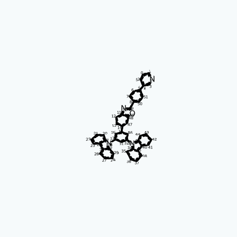 c1cncc(-c2ccc(-c3nc4ccc(-c5cc(-n6c7ccccc7c7ccccc76)cc(-n6c7ccccc7c7ccccc76)c5)cc4o3)cc2)c1